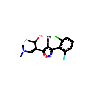 CN(C)/C=C(/c1onc(-c2c(F)cccc2Cl)c1C#N)C(O)C(F)(F)F